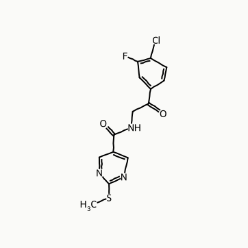 CSc1ncc(C(=O)NCC(=O)c2ccc(Cl)c(F)c2)cn1